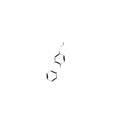 CCNc1ccc(Oc2ccccc2)c(F)c1